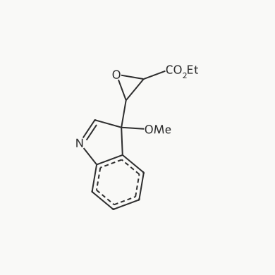 CCOC(=O)C1OC1C1(OC)C=Nc2ccccc21